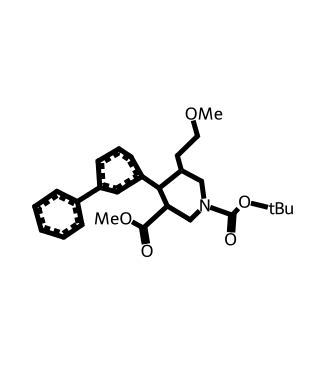 COCCC1CN(C(=O)OC(C)(C)C)CC(C(=O)OC)C1c1cccc(-c2ccccc2)c1